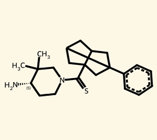 CC1(C)CN(C(=S)C23CC4CC2CC4(c2ccccc2)C3)CC[C@@H]1N